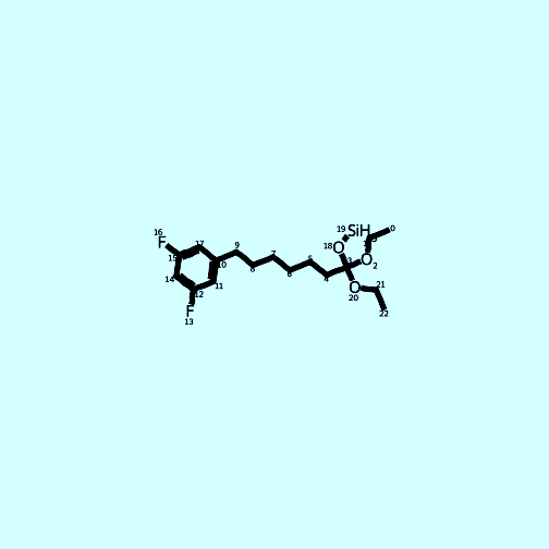 CCOC(CCCCCCc1cc(F)cc(F)c1)(O[SiH3])OCC